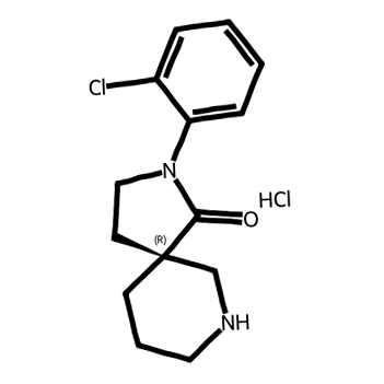 Cl.O=C1N(c2ccccc2Cl)CC[C@@]12CCCNC2